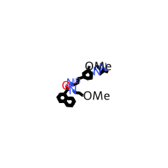 COCCCN1C(/C=C/c2ccc(-n3cnc(C)c3)c(OC)c2)=NOC1c1cccc2ccccc12